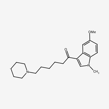 COc1ccc2c(c1)c(C(=O)CCCCCN1CC[CH]CC1)cn2C